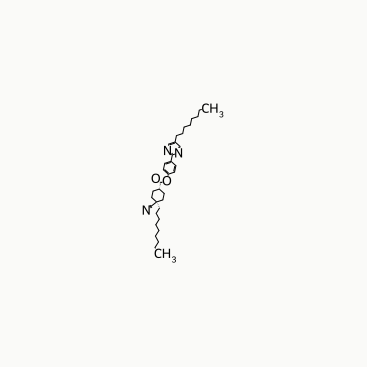 CCCCCCCCC[C@]1(C#N)CC[C@H](C(=O)Oc2ccc(-c3ncc(CCCCCCCC)cn3)cc2)CC1